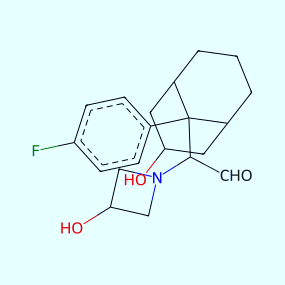 O=CC(N1CC(O)C1)C1(c2ccc(F)cc2)C2CCCC1CC(O)C2